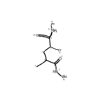 CCC(CC(C)C(=O)NC(C)(C)C)C(=O)NC(C)C